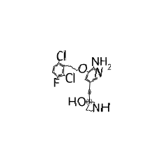 Nc1ncc(C#C[C@@]2(O)CCNC2)cc1OCCc1c(Cl)ccc(F)c1Cl